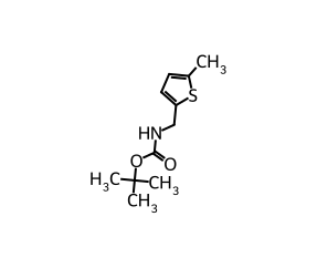 Cc1ccc(CNC(=O)OC(C)(C)C)s1